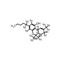 [2H]c1c(O)c2c(c([2H])c1C([2H])([2H])CCCC)OC(C([2H])([2H])[2H])(C([2H])([2H])[2H])[C@@H]1CC([2H])([2H])C(C([2H])([2H])[2H])=C[C@@H]21